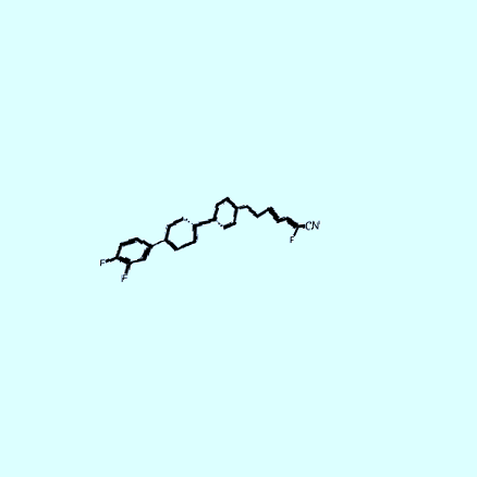 N#CC(F)=CC=CCC[C@H]1CC[C@H]([C@H]2CC[C@H](c3ccc(F)c(F)c3)CC2)CC1